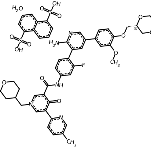 COc1cc(-c2cnc(N)c(-c3ccc(NC(=O)c4cn(CC5CCOCC5)cc(-c5ccc(C)cn5)c4=O)cc3F)c2)ccc1OC[C@H]1COCCO1.O.O=S(=O)(O)c1cccc2c(S(=O)(=O)O)cccc12